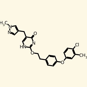 Cc1cc(Oc2ccc(CCOc3nc(=O)c(Cc4cnn(C)c4)c[nH]3)cc2)ccc1Cl